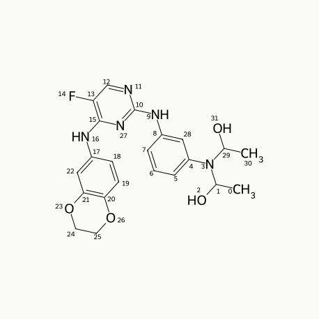 CC(O)N(c1cccc(Nc2ncc(F)c(Nc3ccc4c(c3)OCCO4)n2)c1)C(C)O